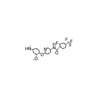 CNc1ccc(Oc2ccc(NC(=O)c3ccc(C(F)(F)F)cc3F)cn2)c(OC)c1